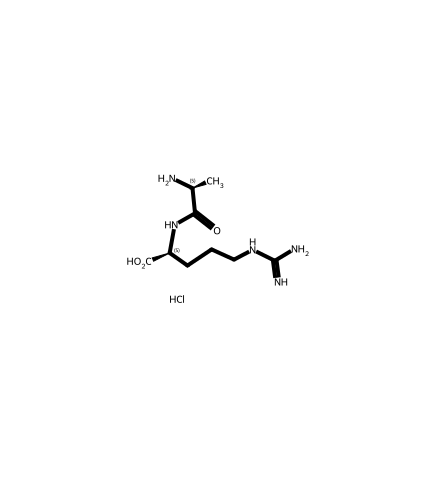 C[C@H](N)C(=O)N[C@@H](CCCNC(=N)N)C(=O)O.Cl